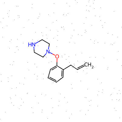 C=CCc1ccccc1ON1CCNCC1